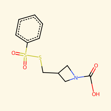 O=C(O)N1CC(CSS(=O)(=O)c2ccccc2)C1